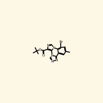 Cc1cc(Br)c2c(c1)c1nncn1c1c(C(=O)OC(C)(C)C)ncn21